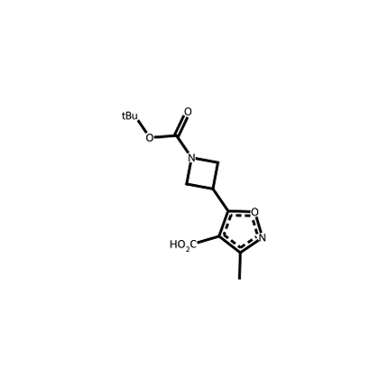 Cc1noc(C2CN(C(=O)OC(C)(C)C)C2)c1C(=O)O